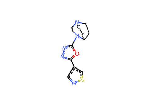 c1nscc1-c1nnc(N2CCN3CCC2CC3)o1